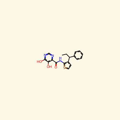 CCC(c1ccccc1)c1ccsc1NC(=O)c1ncnc(O)c1O